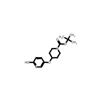 CC(C)(C)OC(=O)N1CCC(Oc2ccc(O)nc2)CC1